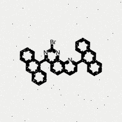 Brc1nc(-c2c3ccccc3cc3ccccc23)c2ccc3ccc(-c4c5ccccc5cc5ccccc45)nc3c2n1